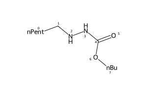 CCCCCCNNC(=O)OCCCC